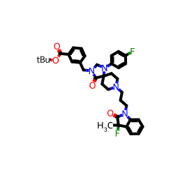 CC(C)(C)OC(=O)c1cccc(CN2CN(c3ccc(F)cc3)C3(CCN(CCCN4C(=O)C(C)(F)c5ccccc54)CC3)C2=O)c1